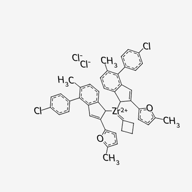 Cc1ccc(C2=Cc3c(ccc(C)c3-c3ccc(Cl)cc3)[CH]2[Zr+2](=[C]2CCC2)[CH]2C(c3ccc(C)o3)=Cc3c2ccc(C)c3-c2ccc(Cl)cc2)o1.[Cl-].[Cl-]